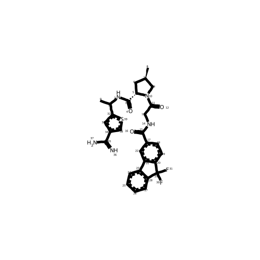 CC(NC(=O)[C@@H]1C[C@@H](C)CN1C(=O)CNC(=O)c1ccc2c(c1)-c1ccccc1C2(F)F)c1cc(C(=N)N)cs1